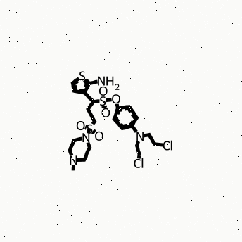 CN1CCN(S(=O)(=O)CCC(c2ccsc2N)S(=O)(=O)Oc2ccc(N(CCCl)CCCl)cc2)CC1